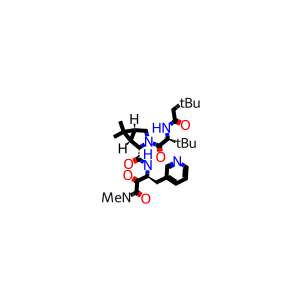 CNC(=O)C(=O)[C@H](Cc1cccnc1)NC(=O)[C@@H]1[C@@H]2[C@H](CN1C(=O)[C@@H](NC(=O)CC(C)(C)C)C(C)(C)C)C2(C)C